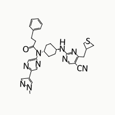 Cn1cc(-c2cnc(N(C(=O)CCc3ccccc3)[C@H]3CC[C@H](Nc4ncc(C#N)c(CC5CSC5)n4)CC3)cn2)cn1